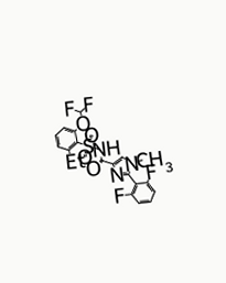 CCc1cccc(OC(F)F)c1S(=O)(=O)NC(=O)c1cn(C)c(-c2c(F)cccc2F)n1